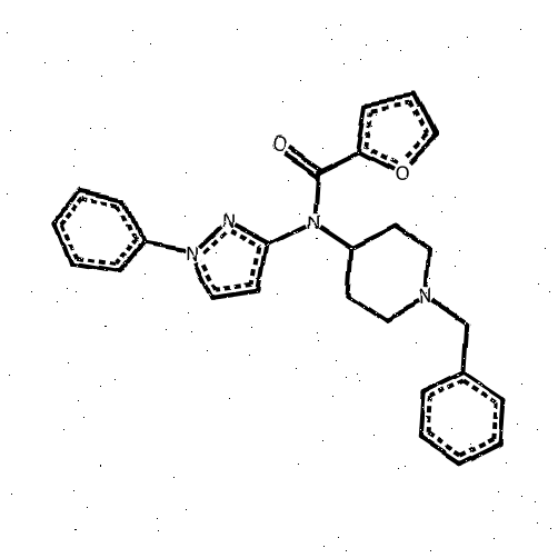 O=C(c1ccco1)N(c1ccn(-c2ccccc2)n1)C1CCN(Cc2ccccc2)CC1